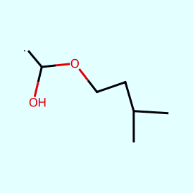 [CH2]C(O)OCCC(C)C